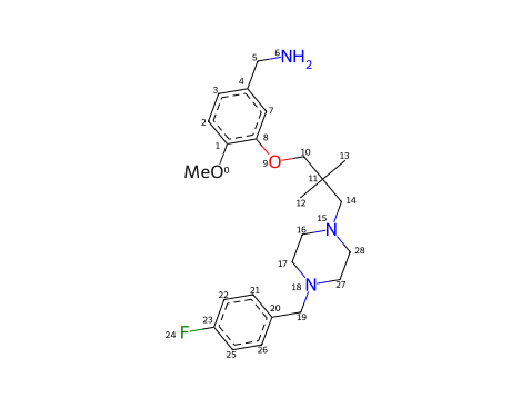 COc1ccc(CN)cc1OCC(C)(C)CN1CCN(Cc2ccc(F)cc2)CC1